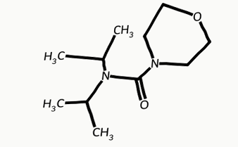 CC(C)N(C(=O)N1CCOCC1)C(C)C